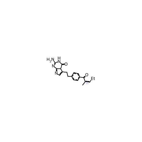 CC/C=C(/C)C(=O)c1ccc(CCC2=CN=C3N=C(N)NC(=O)C23)cc1